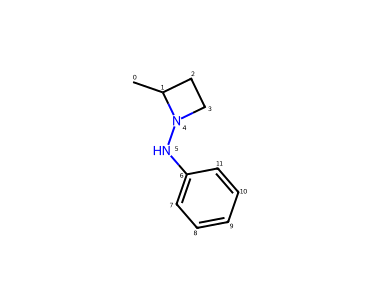 CC1CCN1Nc1ccccc1